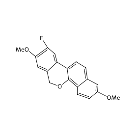 COc1ccc2c3c(ccc2c1)-c1cc(F)c(OC)cc1CO3